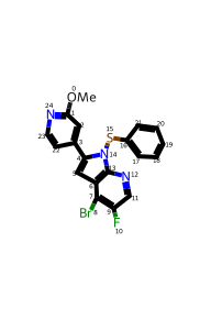 COc1cc(-c2cc3c(Br)c(F)cnc3n2Sc2ccccc2)ccn1